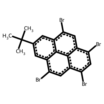 CC(C)(C)c1cc2c(Br)cc3c(Br)cc(Br)c4cc(Br)c(c1)c2c34